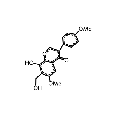 COc1ccc(-c2coc3c(O)c(CO)c(OC)cc3c2=O)cc1